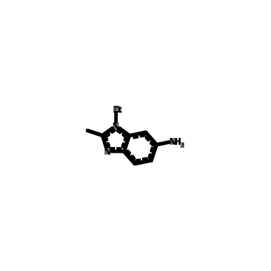 CCn1c(C)nc2ccc(N)cc21